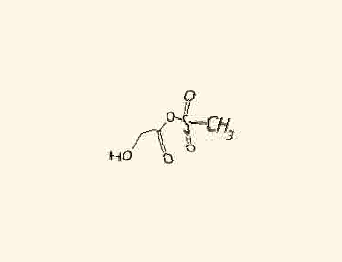 CS(=O)(=O)OC(=O)CO